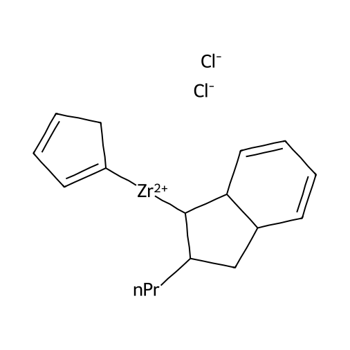 CCCC1CC2C=CC=CC2[CH]1[Zr+2][C]1=CC=CC1.[Cl-].[Cl-]